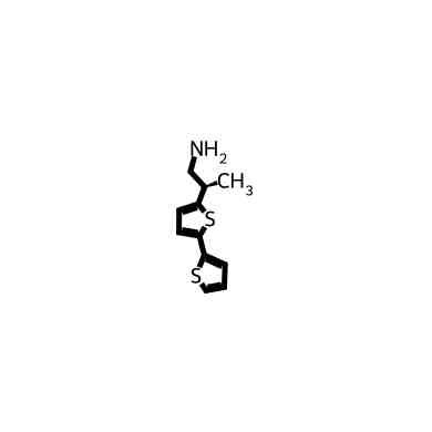 C[C@H](CN)c1ccc(-c2cccs2)s1